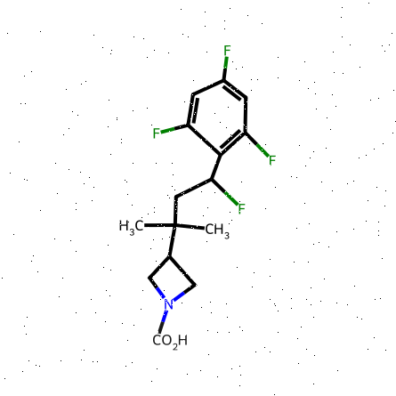 CC(C)(CC(F)c1c(F)cc(F)cc1F)C1CN(C(=O)O)C1